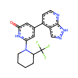 O=c1cc(-c2ccnc3[nH]ncc23)cc(N2CCCCC2C(F)(F)F)[nH]1